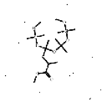 COC(=O)C(C)CC(C)(OC(C)(C)O[Si](C)(C)OC)O[Si](C)(C)OC